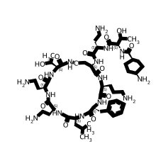 CC(C)C[C@@H]1NC(=O)[C@@H](Cc2ccccc2)NC(=O)[C@H](CCCN)NC(=O)[C@@H](NC(=O)[C@H](CCN)NC(=O)[C@@H](NC(=O)[C@H]2CC[C@H](N)CC2)C(C)O)CCNC(=O)[C@H](C(C)O)NC(=O)[C@H](CCN)NC(=O)[C@H](CCN)NC1=O